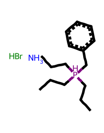 Br.CCC[PH](CCC)(CCC)Cc1ccccc1.N